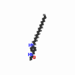 C=CC(=O)NCc1ccc(NCCCCCCCCCCCCCCCCCC)cc1